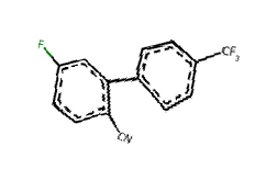 N#Cc1ccc(F)cc1-c1ccc(C(F)(F)F)cc1